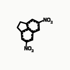 O=[N+]([O-])c1cc2c3c(cc([N+](=O)[O-])cc3c1)CC2